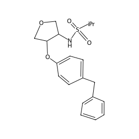 CC(C)S(=O)(=O)NC1COCC1Oc1ccc(Cc2ccccc2)cc1